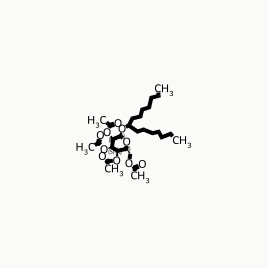 CCCCCCCC(CCCCCCC)O[C@H]1O[C@H](COC(C)=O)[C@@H](OC(C)=O)[C@H](OC(C)=O)[C@H]1OC(C)=O